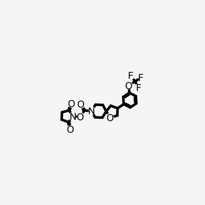 O=C(ON1C(=O)CCC1=O)N1CCC2(CC1)CC(c1cccc(OC(F)(F)F)c1)CO2